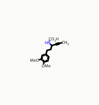 CC#CC(CCc1ccc(OC)c(OC)c1)NC(=O)O